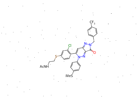 CSc1ccc(-n2nc3c(=O)n(Cc4ccc(C(F)(F)F)cc4)nc-3cc2-c2ccc(SCCNC(C)=O)cc2Cl)cc1